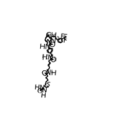 CN1CCCN(C(=O)Nc2ccc(CNC(=O)CCCCCNC(=O)CCCCC3SCC4NC(=O)NC43)cc2)c2nc(-c3cccc(C(F)(F)F)c3)ccc21